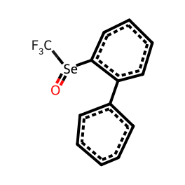 O=[Se](c1ccccc1-c1ccccc1)C(F)(F)F